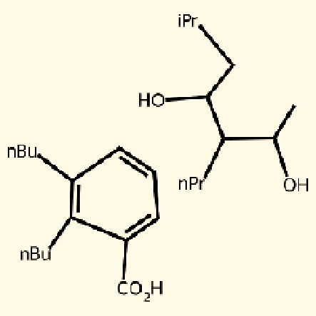 CCCC(C(C)O)C(O)CC(C)C.CCCCc1cccc(C(=O)O)c1CCCC